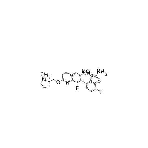 Cc1cc2ccc(OCC3CCCN3C)nc2c(F)c1-c1ccc(F)c2sc(N)c(C#N)c12